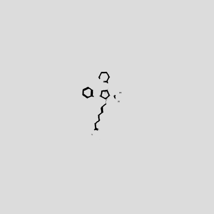 COC(=O)CCCC=CC[C@@H]1[C@@H](C(OC)OC)[C@H](OC2CCCCO2)C[C@H]1Oc1ccccc1